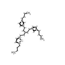 CCCCn1[c-][n+](CCN(CC[n+]2ccn(CCCC)c2)CC[n+]2ccn(CCCC)c2)cc1